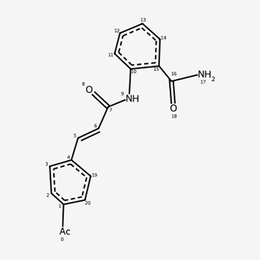 CC(=O)c1ccc(C=CC(=O)Nc2ccccc2C(N)=O)cc1